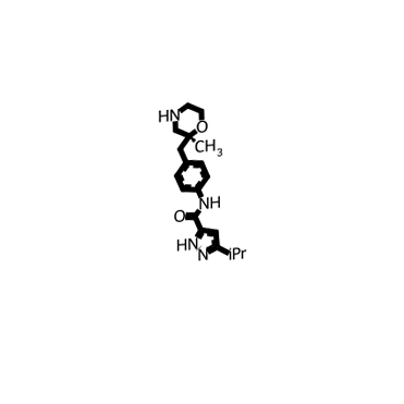 CC(C)c1cc(C(=O)Nc2ccc(C[C@]3(C)CNCCO3)cc2)[nH]n1